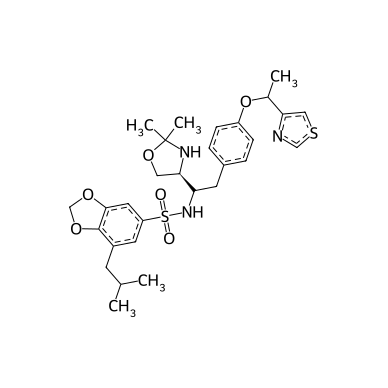 CC(C)Cc1cc(S(=O)(=O)NC(Cc2ccc(OC(C)c3cscn3)cc2)[C@H]2COC(C)(C)N2)cc2c1OCO2